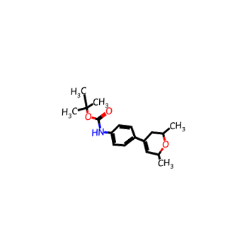 CC1C=C(c2ccc(NC(=O)OC(C)(C)C)cc2)CC(C)O1